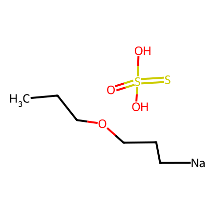 CCCOCC[CH2][Na].O=S(O)(O)=S